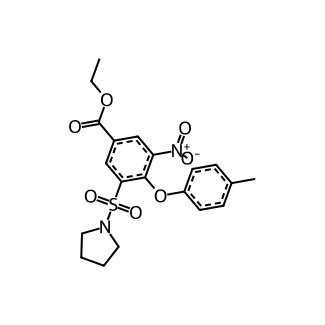 CCOC(=O)c1cc([N+](=O)[O-])c(Oc2ccc(C)cc2)c(S(=O)(=O)N2CCCC2)c1